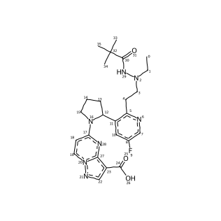 CCN(CCc1ncc(F)cc1C1CCCN1c1ccn2ncc(C(=O)O)c2n1)NC(=O)C(C)(C)C